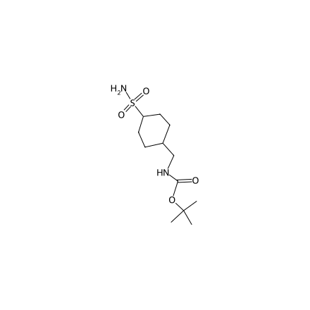 CC(C)(C)OC(=O)NCC1CCC(S(N)(=O)=O)CC1